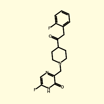 O=C(Cc1ccccc1F)C1CCN(Cc2ncc(F)[nH]c2=O)CC1